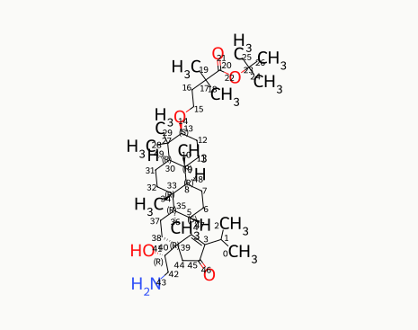 CC(C)C1=C2[C@H]3CC[C@@H]4[C@@]5(C)CC[C@H](OCCC(C)(C)C(=O)OC(C)(C)C)C(C)(C)[C@@H]5CC[C@@]4(C)[C@]3(C)CC[C@@]2([C@@H](O)CN)CC1=O